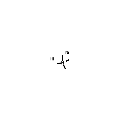 C[N+](C)(C)C.I.[Ni]